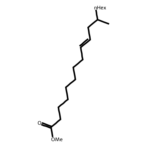 CCCCCCC(C)C/C=C/CCCCCCCC(=O)OC